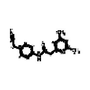 Cc1cc(C)nc(CC(=O)Nc2ccc(CC#N)cc2)c1